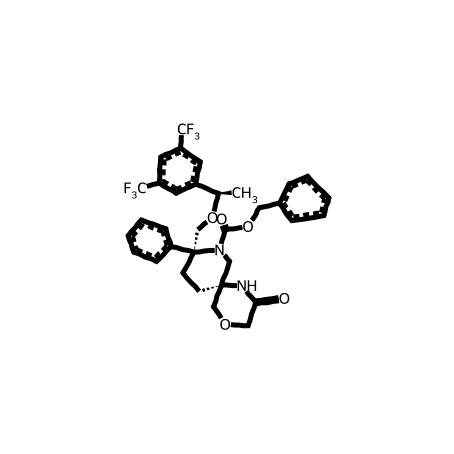 C[C@@H](OC[C@@]1(c2ccccc2)CC[C@]2(COCC(=O)N2)CN1C(=O)OCc1ccccc1)c1cc(C(F)(F)F)cc(C(F)(F)F)c1